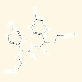 O=C(O)CCC(C(=O)OC(=O)C(CCC(=O)O)c1ccc(Cl)cc1)c1ccc(Cl)cc1